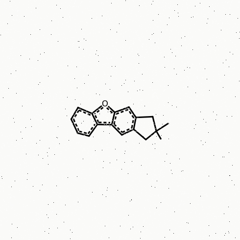 CC1(C)Cc2cc3oc4ccccc4c3cc2C1